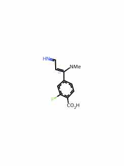 CN/C(=C\C=N)c1ccc(C(=O)O)c(F)c1